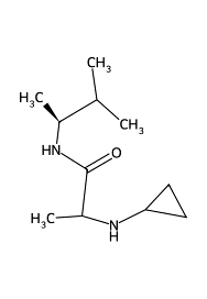 CC(NC1CC1)C(=O)N[C@@H](C)C(C)C